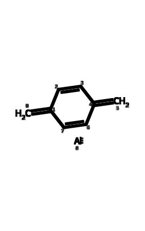 C=c1ccc(=C)cc1.[Al]